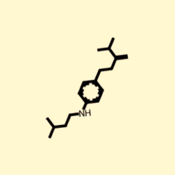 C=C(CCc1ccc(NCCC(C)C)cc1)C(C)C